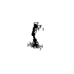 C[C@@H](O)[C@H](NC(=O)c1ccc(C#Cc2ccc(CC(=O)CNCc3cc(C(F)(F)F)cc(C(F)(F)F)c3)cc2)cc1)C(=O)NO